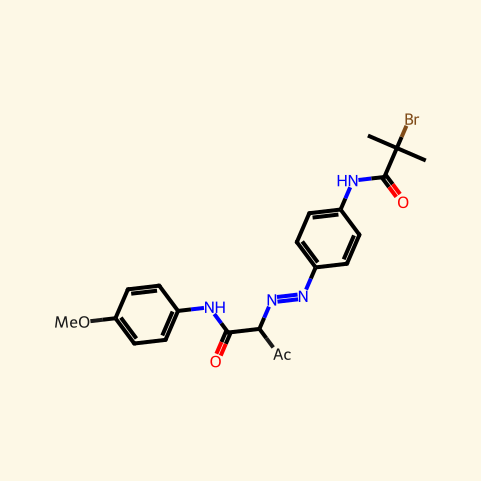 COc1ccc(NC(=O)C(N=Nc2ccc(NC(=O)C(C)(C)Br)cc2)C(C)=O)cc1